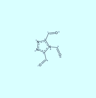 O=Cc1nnc(C=O)n1C=O